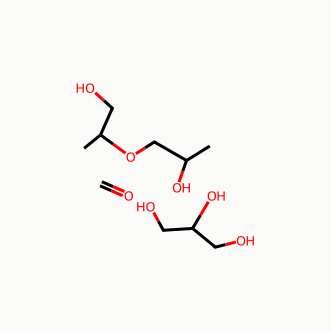 C=O.CC(O)COC(C)CO.OCC(O)CO